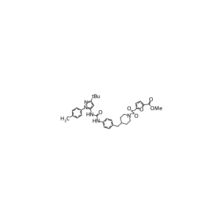 COC(=O)c1ccc(S(=O)(=O)N2CCC(Cc3ccc(NC(=O)Nc4cc(C(C)(C)C)nn4-c4ccc(C)cc4)cc3)CC2)o1